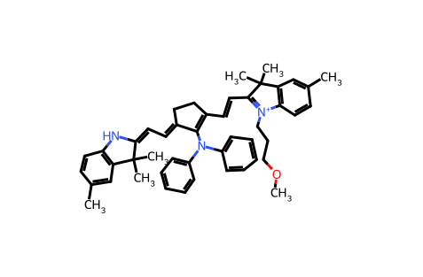 COCCC[N+]1=C(/C=C/C2=C(N(c3ccccc3)c3ccccc3)C(=C/C=C3/Nc4ccc(C)cc4C3(C)C)/CC2)C(C)(C)c2cc(C)ccc21